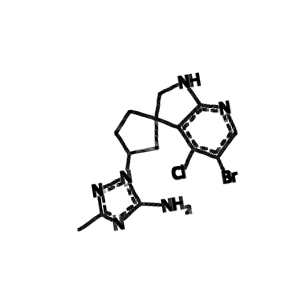 Cc1nc(N)n(C2CCC3(CNc4ncc(Br)c(Cl)c43)C2)n1